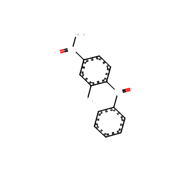 CCCCCCCCC[CH2][Co](=[O])[c]1cc[c]([Co](=[O])[c]2ccccc2)c(C)c1